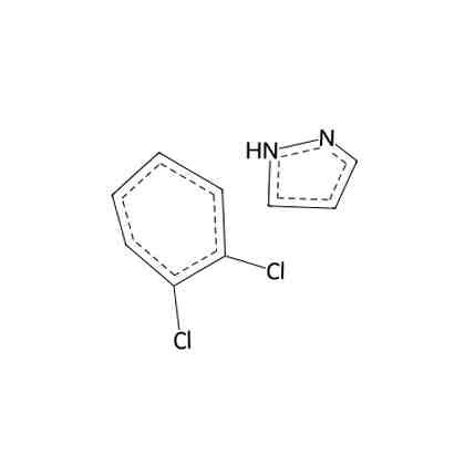 Clc1ccccc1Cl.c1cn[nH]c1